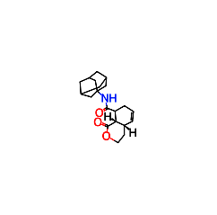 O=C(NC12CC3CC(CC(C3)C1)C2)C1CC=C[C@@H]2CCOC(=O)[C@H]12